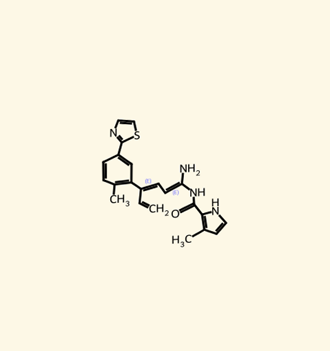 C=C/C(=C\C=C(/N)NC(=O)c1[nH]ccc1C)c1cc(-c2nccs2)ccc1C